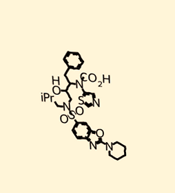 CC(C)CN(CC(O)C(Cc1ccccc1)N(C(=O)O)c1cncs1)S(=O)(=O)c1ccc2nc(N3CCCCC3)oc2c1